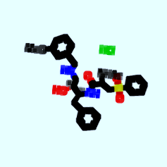 COc1cccc(CNC[C@@H](O)[C@H](Cc2ccccc2)NC(=O)C(CS(=O)(=O)c2ccccc2)NC(C)=O)c1.Cl